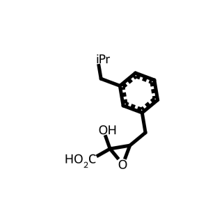 CC(C)Cc1cccc(CC2OC2(O)C(=O)O)c1